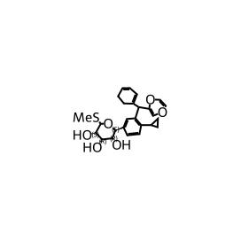 CSC1O[C@@H](c2ccc(C3CC3)c(C(C3=CC=CCC3)C3=COC=CO3)c2)[C@H](O)[C@@H](O)[C@@H]1O